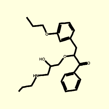 CCCNCC(O)COC(Cc1cccc(OCCC)c1)C(=O)c1ccccc1